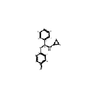 Fc1ccc(CC(NC2CC2)c2ccccc2)cc1